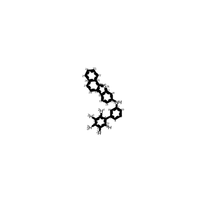 [2H]c1c([2H])c([2H])c(-c2cccc(Nc3ccc4c(c3)sc3c5ccccc5ccc43)c2)c([2H])c1[2H]